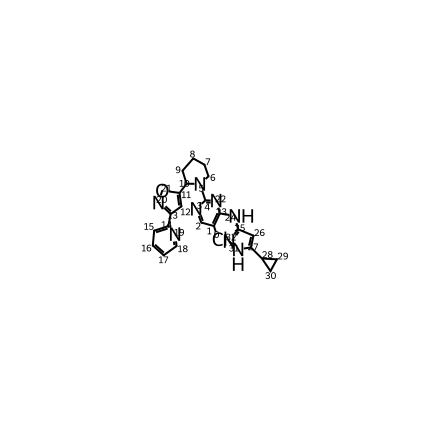 Clc1cnc(N2CCCCC2c2cc(-c3ccccn3)no2)nc1Nc1cc(C2CC2)[nH]n1